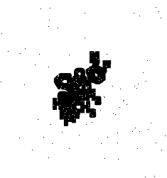 Cc1c(S(=O)(=O)NC(C)C(F)(F)F)c2n(c1C(=O)Nc1ccc(F)c(C#N)c1)CCCC2